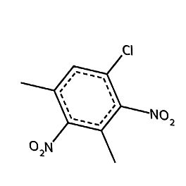 Cc1cc(Cl)c([N+](=O)[O-])c(C)c1[N+](=O)[O-]